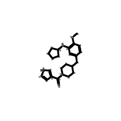 COc1ccc(CC2CCN(C(=O)c3cn[nH]c3)CC2)cc1OC1CCCC1